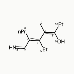 CCC/C(C=N)=C(CC)\C(C)=C(/O)CC